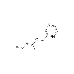 C=C/C=C(\C)OCc1cnccn1